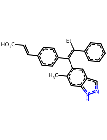 CCC(=C(c1ccc(C=CC(=O)O)cc1)c1cc2cn[nH]c2cc1C)c1ccccc1